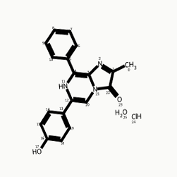 Cc1nc2c(-c3ccccc3)[nH]c(-c3ccc(O)cc3)cn-2c1=O.Cl.O